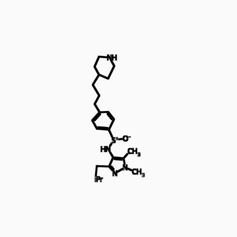 Cc1c(N[S+]([O-])c2ccc(CCCC3CCNCC3)cc2)c(CC(C)C)nn1C